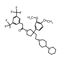 COc1ccc(C2(CCN3CCC(N4CCCCC4)CC3)CCN(C(=O)Cc3cc(C(F)(F)F)cc(C(F)(F)F)c3)C2)cc1OC